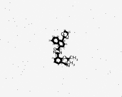 CC(C)Oc1c(C#N)cccc1-c1noc(-c2ccc(C3OCCO3)c3ccccc23)n1